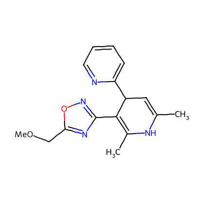 COCc1nc(C2=C(C)NC(C)=CC2c2ccccn2)no1